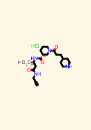 C#CCNC(=O)C[C@H](NC(=O)[C@@H]1CCCN(C(=O)CCC2CCNCC2)C1)C(=O)O.Cl